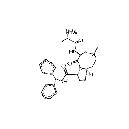 CN[C@@H](C)C(=O)N[C@H]1CN(C)CC[C@H]2CC[C@@H](C(=O)NC(c3ccccc3)c3ccccc3)N2C1=O